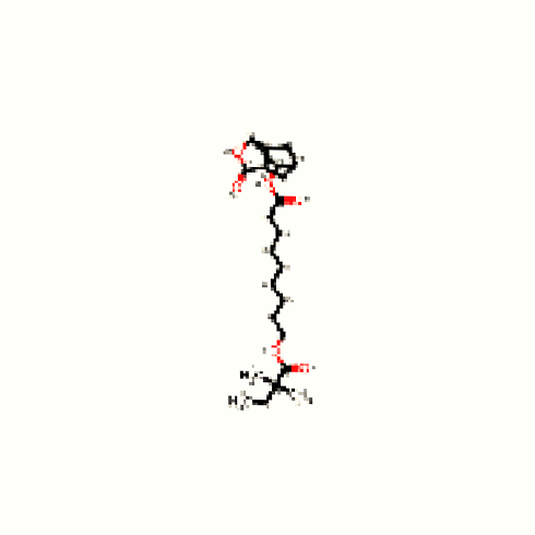 CCC(C)(C)C(=O)OCCCCCCCCC(=O)OC1C2CC3C(=O)OC1C3C2